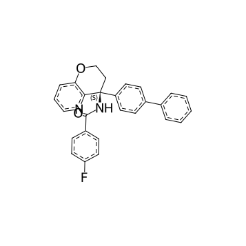 O=C(N[C@]1(c2ccc(-c3ccccc3)cc2)CCOc2cccnc21)c1ccc(F)cc1